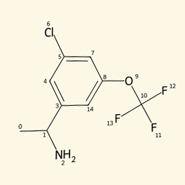 CC(N)c1cc(Cl)cc(OC(F)(F)F)c1